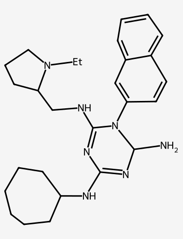 CCN1CCCC1CNC1=NC(NC2CCCCCC2)=NC(N)N1c1ccc2ccccc2c1